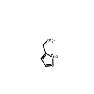 Cl.O=C(O)Cc1ccn[nH]1